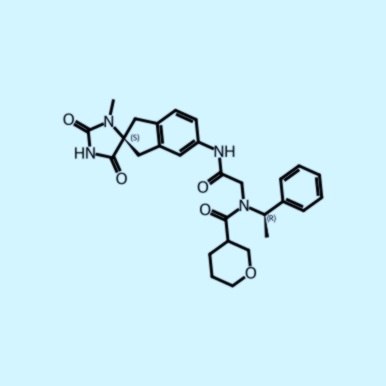 C[C@H](c1ccccc1)N(CC(=O)Nc1ccc2c(c1)C[C@@]1(C2)C(=O)NC(=O)N1C)C(=O)C1CCCOC1